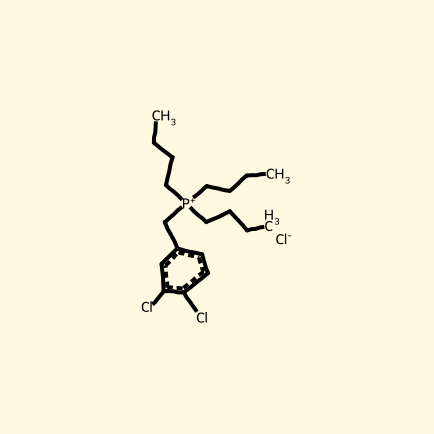 CCCC[P+](CCCC)(CCCC)Cc1ccc(Cl)c(Cl)c1.[Cl-]